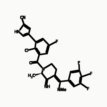 CN/C(=C1/CCN(C(=O)c2cc(F)cc(-c3c[nH]c(C#N)c3)c2Cl)[C@@H](C)C1=N)c1cc(F)c(F)c(F)c1